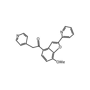 COc1ccc(C(=O)Cc2ccncc2)c2cc(-c3ccccn3)oc12